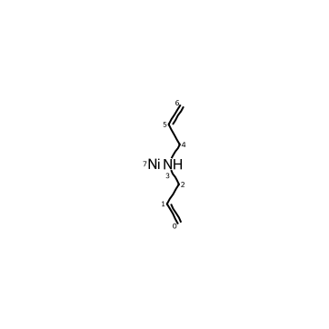 C=CCNCC=C.[Ni]